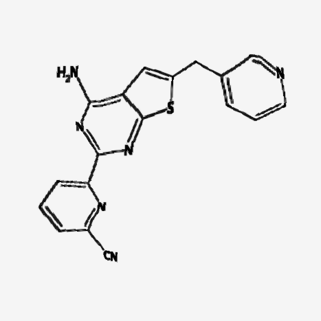 N#Cc1cccc(-c2nc(N)c3cc(Cc4cccnc4)sc3n2)n1